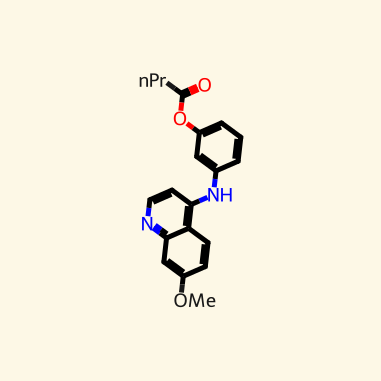 CCCC(=O)Oc1cccc(Nc2ccnc3cc(OC)ccc23)c1